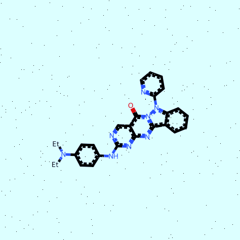 CCN(CC)c1ccc(Nc2ncc3c(=O)n4c(nc3n2)c2ccccc2n4-c2ccccn2)cc1